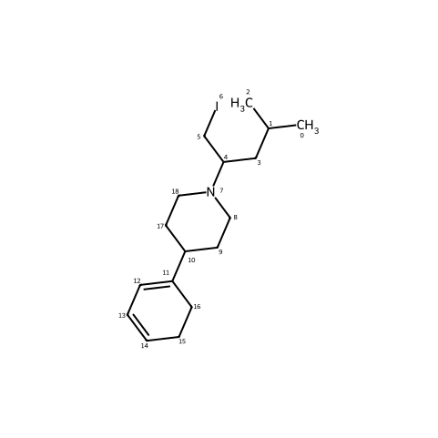 CC(C)CC(CI)N1CCC(C2=CC=CCC2)CC1